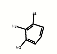 CCc1cccc(O)c1S